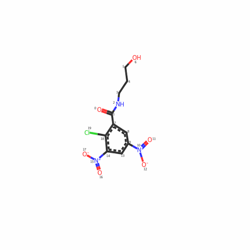 O=C(NCCCO)c1cc([N+](=O)[O-])cc([N+](=O)[O-])c1Cl